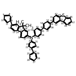 CC1(C)c2cc(-c3ccccc3)ccc2-c2ccc(N(c3ccc(-c4ccccc4)cc3)c3ccc(-c4ccc(-c5ccc6sc7ccccc7c6c5)cc4)cc3)cc21